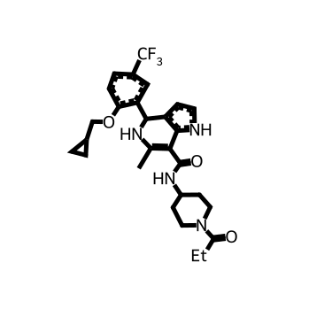 CCC(=O)N1CCC(NC(=O)C2=C(C)NC(c3cc(C(F)(F)F)ccc3OCC3CC3)c3cc[nH]c32)CC1